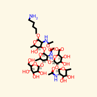 CC(=O)NC1C(O[C@@H]2OC(C)[C@@H](O[C@@H]3OC(CO)[C@@H](O)C(O)C3O)C(O[C@@H]3OC(C(=O)O)[C@@H](O)C(O)[C@@H]3O[C@@H]3OC(C)[C@@H](O)C(O)[C@@H]3NC(C)=O)[C@@H]2NC(C)=O)[C@@H](O)C(C)O[C@H]1OCCCCCN